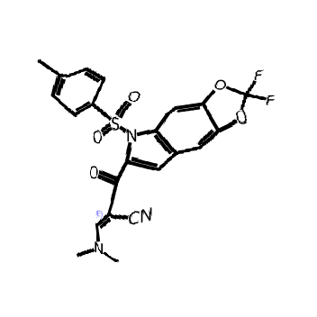 Cc1ccc(S(=O)(=O)n2c(C(=O)/C(C#N)=C/N(C)C)cc3cc4c(cc32)OC(F)(F)O4)cc1